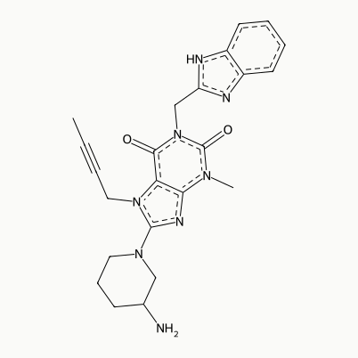 CC#CCn1c(N2CCCC(N)C2)nc2c1c(=O)n(Cc1nc3ccccc3[nH]1)c(=O)n2C